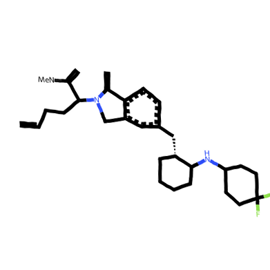 C=CCCC(C(=C)NC)N1Cc2cc(C[C@H]3CCCCC3NC3CCC(F)(F)CC3)ccc2C1=C